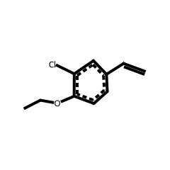 C=[C]c1ccc(OCC)c(Cl)c1